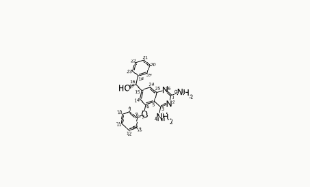 Nc1nc(N)c2c(Oc3ccccc3)cc(C(O)c3ccccc3)cc2n1